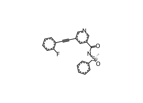 C[S@@](=O)(=NC(=O)c1cncc(C#Cc2ccccc2F)c1)c1ccccc1